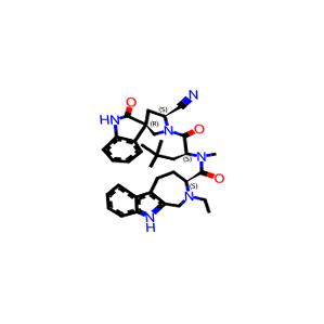 CCN1Cc2[nH]c3ccccc3c2CC[C@H]1C(=O)N(C)[C@@H](CC(C)(C)C)C(=O)N1C[C@]2(C[C@H]1C#N)C(=O)Nc1ccccc12